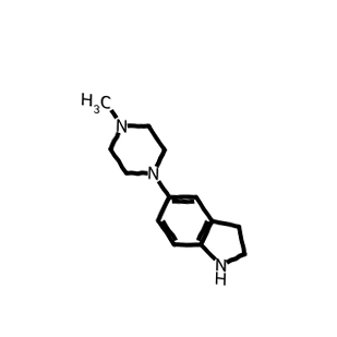 CN1CCN(c2ccc3c(c2)CCN3)CC1